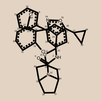 O=C(Nc1cccc(-c2ccccc2)c1)N1C2CCC1CC(OCc1c(-c3c(Cl)cccc3Cl)noc1C1CC1)C2